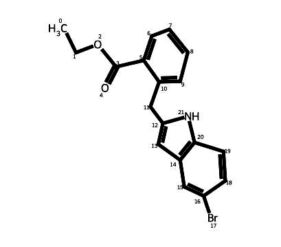 CCOC(=O)c1ccccc1Cc1cc2cc(Br)ccc2[nH]1